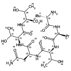 CCC(C)[C@H](N)C(=O)N[C@H](C(=O)N[C@H](C(=O)N[C@@H](CC(N)=O)C(=O)N[C@H](C(=O)N[C@H](C(=O)O)C(C)O)C(C)O)C(C)O)C(C)C